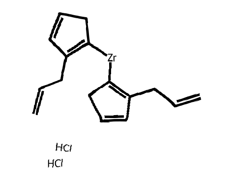 C=CCC1=[C]([Zr][C]2=C(CC=C)C=CC2)CC=C1.Cl.Cl